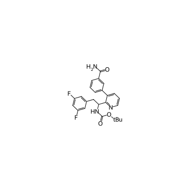 CC(C)(C)OC(=O)NC(Cc1cc(F)cc(F)c1)c1ncccc1-c1cccc(C(N)=O)c1